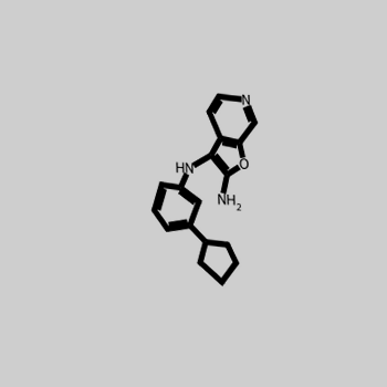 Nc1oc2cnccc2c1Nc1cccc(C2CCCC2)c1